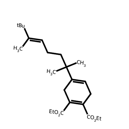 CCOC(=O)C1=C(C(=O)OCC)CC(C(C)(C)CC/C=C(\C)C(C)(C)C)=CC1